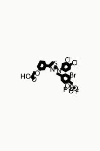 O=C(O)COc1cccc(-c2csc(N(Cc3ccc(CP(=O)(OF)OF)c(Br)c3)c3ccc(Cl)c(Cl)c3)n2)c1